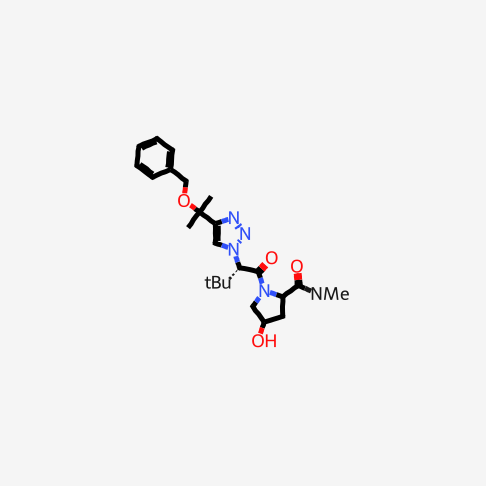 CNC(=O)C1CC(O)CN1C(=O)[C@@H](n1cc(C(C)(C)OCc2ccccc2)nn1)C(C)(C)C